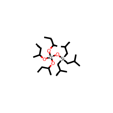 CCC(C)[O][Zr]([O]C(C)CC)([O]C(C)CC)[O][Si](CC(C)C)(CC(C)C)CC(C)C